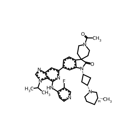 CC(=O)N1CCC2(CC1)C(=O)N([C@H]1C[C@@H](N3CCC[C@@H](C)C3)C1)c1cc(-c3cc4ncn(C(C)C)c4c(Nc4ccncc4F)n3)ccc12